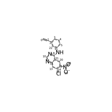 C#Cc1cccc(Nc2ncnc3cc(Cl)c([N+](=O)[O-])cc23)c1